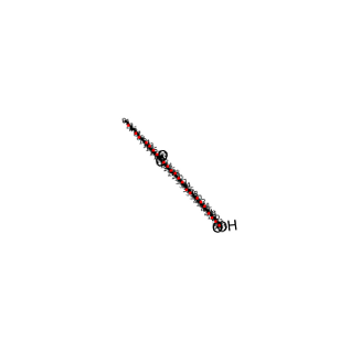 CCCCCCC=CCCCCCCCCCCCC(=O)OCCCCCCCCCCCCCCCCCCCCCCCCCCCCCCCC(=O)O